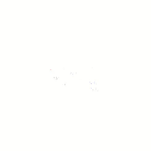 O=C([O-])C(=O)[O-].[NH4+].[NH4+].[NH4+].[O]=[Mn](=[O])(=[O])[O-]